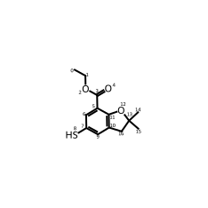 CCOC(=O)c1cc(S)cc2c1OC(C)(C)C2